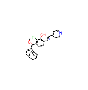 COC(=C1C2CC3CC(C2)CC1C3)c1ccc(/C=C/c2ccncc2)c(O)c1Cl